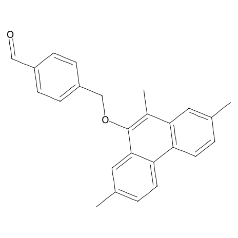 Cc1ccc2c(c1)c(C)c(OCc1ccc(C=O)cc1)c1cc(C)ccc12